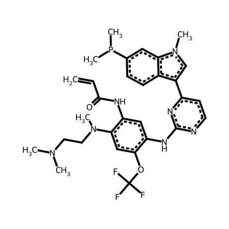 C=CC(=O)Nc1cc(Nc2nccc(-c3cn(C)c4cc(P(C)C)ccc34)n2)c(OC(F)(F)F)cc1N(C)CCN(C)C